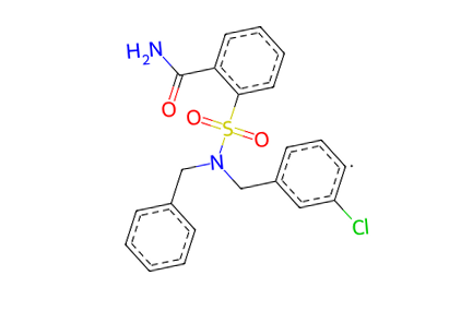 NC(=O)c1ccccc1S(=O)(=O)N(Cc1ccccc1)Cc1cc[c]c(Cl)c1